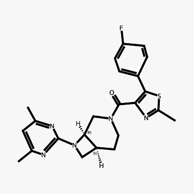 Cc1cc(C)nc(N2C[C@@H]3CCN(C(=O)c4nc(C)sc4-c4ccc(F)cc4)C[C@@H]32)n1